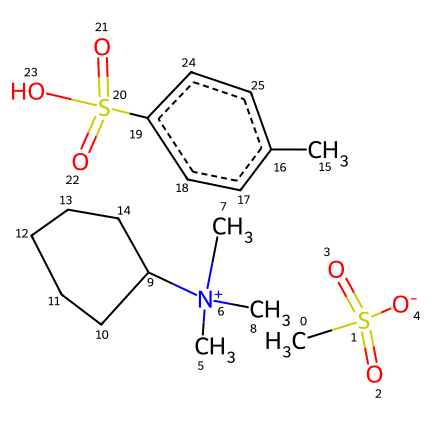 CS(=O)(=O)[O-].C[N+](C)(C)C1CCCCC1.Cc1ccc(S(=O)(=O)O)cc1